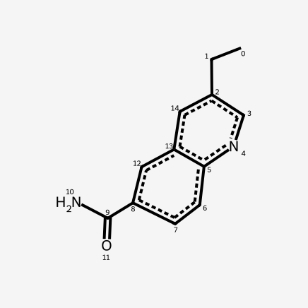 CCc1cnc2ccc(C(N)=O)cc2c1